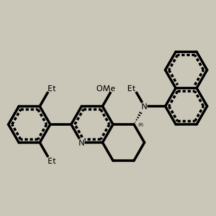 CCc1cccc(CC)c1-c1cc(OC)c2c(n1)CCC[C@H]2N(CC)c1cccc2ccccc12